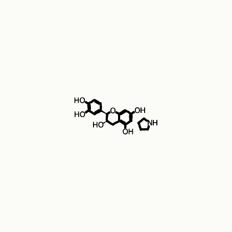 C1CCNC1.Oc1cc(O)c2c(c1)O[C@H](c1ccc(O)c(O)c1)[C@@H](O)C2